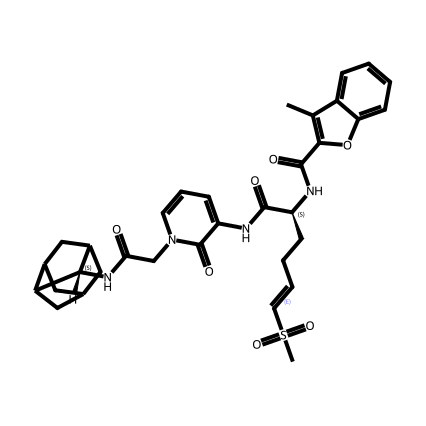 Cc1c(C(=O)N[C@@H](CC/C=C/S(C)(=O)=O)C(=O)Nc2cccn(CC(=O)N[C@H]3C4CC5CC(C4)C3C5)c2=O)oc2ccccc12